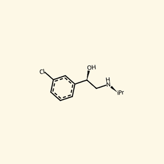 [CH2][C@H](C)NC[C@H](O)c1cccc(Cl)c1